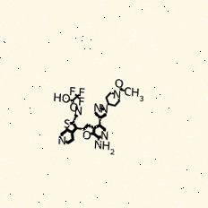 CC(=O)N1CCC(n2cc(-c3cnc(N)c4oc(-c5c(C#N)sc6cnccc56)cc34)cn2)CC1.O=C(O)C(F)(F)F